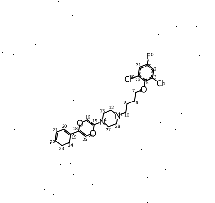 Fc1cc(Cl)c(OCCCCN2CCN(C3=COC(C4=CC=CCC4)=CO3)CC2)c(Cl)c1